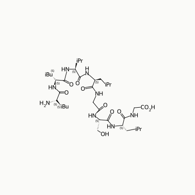 CC[C@H](C)[C@H](N)C(=O)N[C@H](C(=O)N[C@H](C(=O)N[C@@H](CC(C)C)C(=O)NCC(=O)N[C@@H](CO)C(=O)N[C@@H](CC(C)C)C(=O)NCC(=O)O)C(C)C)[C@@H](C)CC